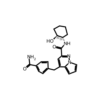 NC(=O)c1ccc(Cc2cc(C(=O)N[C@H]3CCCC[C@@H]3O)nn3cccc23)cc1